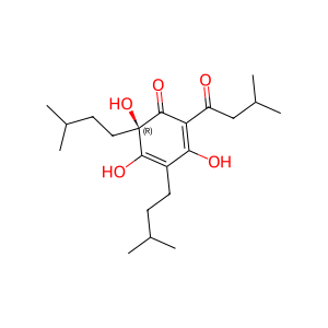 CC(C)CCC1=C(O)[C@](O)(CCC(C)C)C(=O)C(C(=O)CC(C)C)=C1O